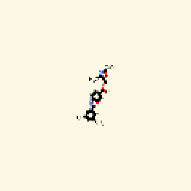 COc1nc(C)c(COC(=O)c2ccc3nc(-c4cc(C)cc(C)c4)oc3c2)o1